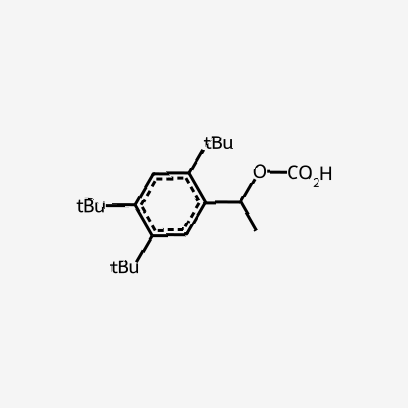 CC(OC(=O)O)c1cc(C(C)(C)C)c(C(C)(C)C)cc1C(C)(C)C